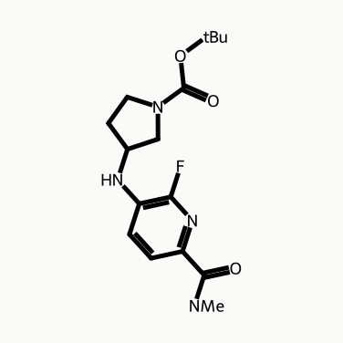 CNC(=O)c1ccc(NC2CCN(C(=O)OC(C)(C)C)C2)c(F)n1